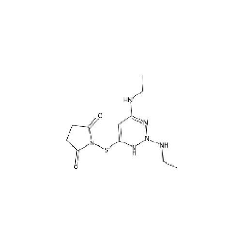 CCNC1=NN(NCC)NC(SN2C(=O)CCC2=O)=C1